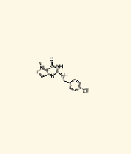 Cn1ncc2nc(NCc3ccc(Cl)cc3)[nH]c(=O)c21